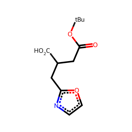 CC(C)(C)OC(=O)CC(Cc1ncco1)C(=O)O